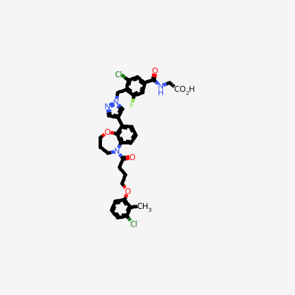 Cc1c(Cl)cccc1OCCCC(=O)N1CCCOc2c(-c3cnn(Cc4c(F)cc(C(=O)NCC(=O)O)cc4Cl)c3)cccc21